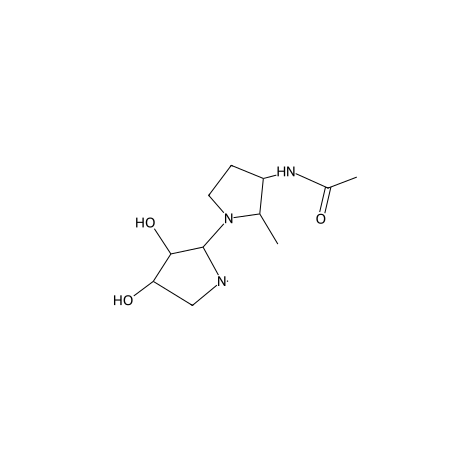 CC(=O)NC1CCN(C2[N]CC(O)C2O)C1C